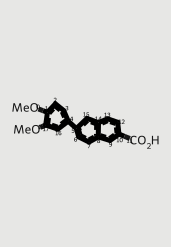 COc1ccc(-c2ccc3cc(C(=O)O)ccc3c2)cc1OC